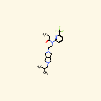 CCC(=O)N(CCN1CC2CN(CC(C)C)CC2C1)c1cccc(C(F)(F)F)n1